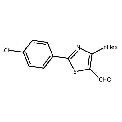 CCCCCCc1nc(-c2ccc(Cl)cc2)sc1C=O